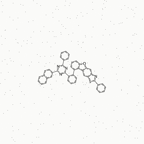 c1ccc(-c2nc(-c3ccc4ccccc4c3)nc(-c3ccccc3-c3cccc4oc5cc6nc(-c7ccccc7)sc6cc5c34)n2)cc1